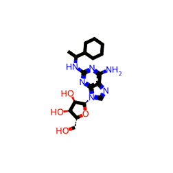 CC(Nc1nc(N)c2ncn([C@@H]3O[C@H](CO)[C@@H](O)[C@H]3O)c2n1)C1CCCCC1